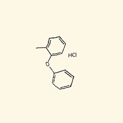 Cc1ccccc1Oc1ccccc1.Cl